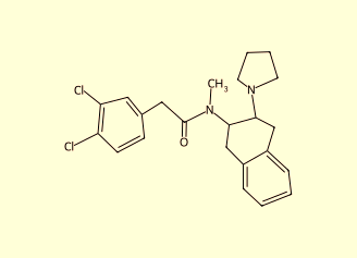 CN(C(=O)Cc1ccc(Cl)c(Cl)c1)C1Cc2ccccc2CC1N1CCCC1